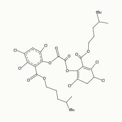 CC(CCCOC(=O)C1=C(Cl)C(Cl)CC(Cl)=C1OC(=O)C(=O)Oc1c(Cl)cc(Cl)c(Cl)c1C(=O)OCCCC(C)C(C)(C)C)C(C)(C)C